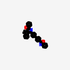 CC1(C)c2ccccc2-c2c(-c3ccc(-c4ccc(-c5nc6ccccc6o5)cc4)cc3)nc3c(oc4ccccc43)c21